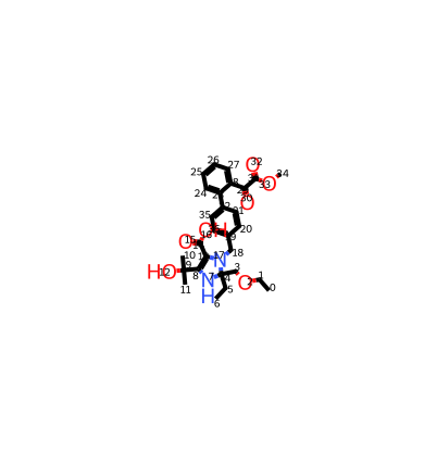 CCOCC1(CC)NC(C(C)(C)O)=C(C(=O)O)N1Cc1ccc(-c2ccccc2C(=O)C(=O)OC)cc1